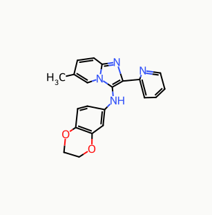 Cc1ccc2nc(-c3ccccn3)c(Nc3ccc4c(c3)OCCO4)n2c1